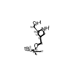 CC(C)(C)[Si](C)(C)OCC1CN[C@H](CO)C1